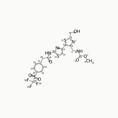 COC(=O)NCc1nc(CO)sc1-c1csc(NC(=O)Cc2ccc(S(=O)(=O)C(F)(F)F)cc2)n1